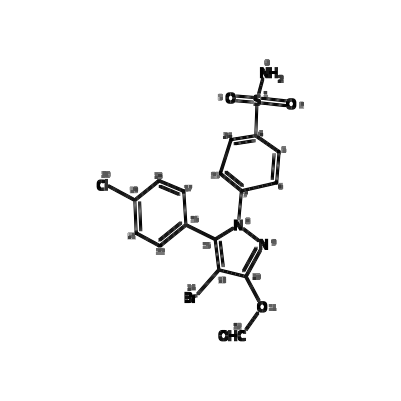 NS(=O)(=O)c1ccc(-n2nc(OC=O)c(Br)c2-c2ccc(Cl)cc2)cc1